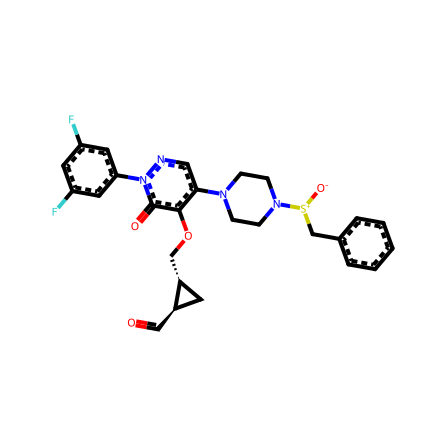 O=C[C@@H]1C[C@H]1COc1c(N2CCN([S+]([O-])Cc3ccccc3)CC2)cnn(-c2cc(F)cc(F)c2)c1=O